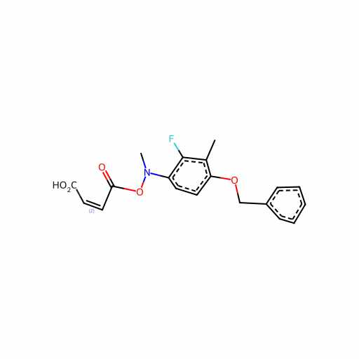 Cc1c(OCc2ccccc2)ccc(N(C)OC(=O)/C=C\C(=O)O)c1F